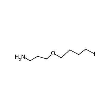 NCCCOCCCCI